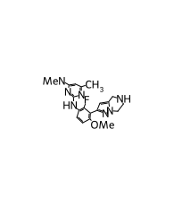 CNc1cc(C)nc(Nc2ccc(OC)c(-c3cc4n(n3)CCNC4)c2F)n1